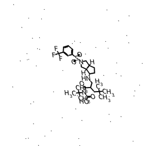 CC(C)(C)CC(CN[C@@H]1CC[C@H]2CN(S(=O)(=O)c3cccc(C(F)(F)F)c3)C[C@H]21)C(=O)N(C(=O)O)C(C)(C)C